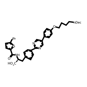 CCCCCCCCCCCCCCOc1ccc(-c2cnc(-c3ccc(C[C@H](NC(=O)c4ccc(C(C)C)s4)C(=O)O)cc3)nc2)cc1